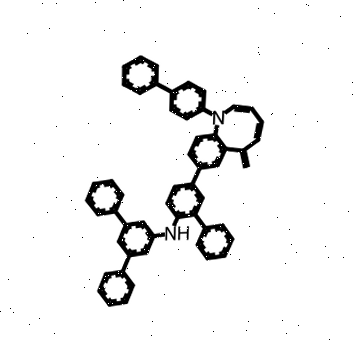 C=C1/C=C\C=C/N(c2ccc(-c3ccccc3)cc2)c2ccc(-c3ccc(Nc4cc(-c5ccccc5)cc(-c5ccccc5)c4)c(-c4ccccc4)c3)cc21